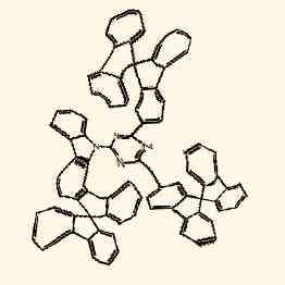 c1ccc2c(c1)-c1ccccc1C21c2ccccc2-c2ccc(-c3nc(-c4ccc5c(c4)C4(c6ccccc6-c6ccccc64)c4ccccc4-5)nc(-n4c5ccccc5c5ccc6c(c54)-c4ccccc4C64c5ccccc5-c5ccccc54)n3)cc21